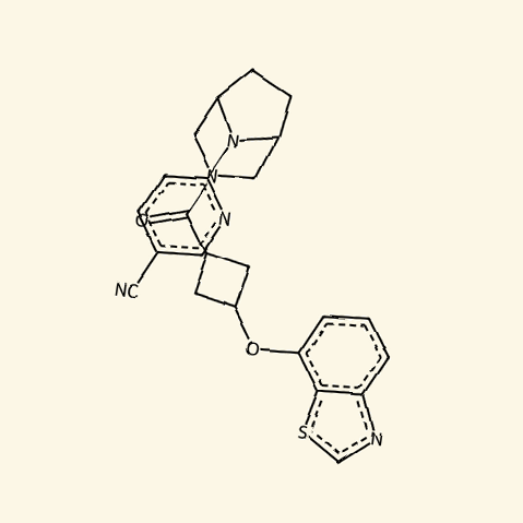 N#Cc1ccc(N2C3CCC2CN(C(=O)C2CC(Oc4cccc5ncsc45)C2)C3)nc1